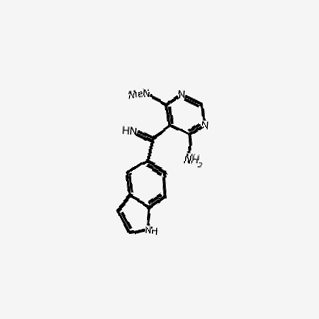 CNc1ncnc(N)c1C(=N)c1ccc2[nH]ccc2c1